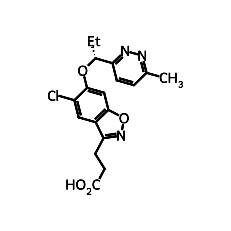 CC[C@@H](Oc1cc2onc(CCC(=O)O)c2cc1Cl)c1ccc(C)nn1